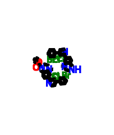 CN1CCN(C(=O)OC(C)(C)C)Cc2ccc(-c3nccc(-c4cccc(Br)c4Cl)c3Cl)cc21.CN1CCNCc2ccc(-c3nccc(-c4cccc(Br)c4Cl)c3Cl)cc21